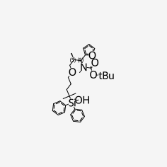 C[C@H](COCCCC(C)(C)[Si](O)(c1ccccc1)c1ccccc1)[C@@H](c1ccco1)N(C)C(=O)OC(C)(C)C